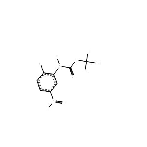 CC(C)(C)OC(=O)N(F)c1cc([N+](=O)[O-])ccc1F